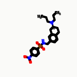 CCCN(CCC)[C@@H]1CCc2ccc(CNS(=O)(=O)c3ccc([N+](=O)[O-])cc3)cc2C1